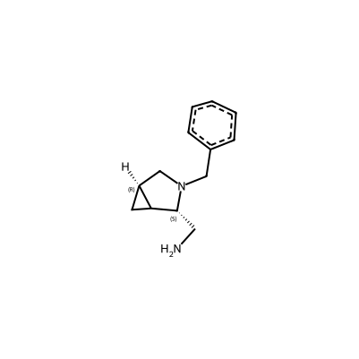 NC[C@@H]1C2C[C@H]2CN1Cc1ccccc1